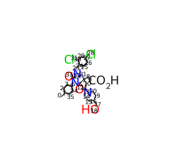 Cc1ccc(N2CC(CC(=O)O)(CC(=O)N3CCC(CO)CC3)CN(Cc3ccc(Cl)cc3Cl)C2=O)cc1